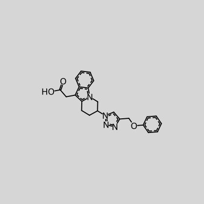 O=C(O)Cc1c2n(c3ccccc13)CC(n1cc(COc3ccccc3)nn1)CC2